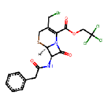 O=C(Cc1ccccc1)N[C@@H]1C(=O)N2C(C(=O)OCC(Cl)(Cl)Cl)=C(CBr)CS[C@H]12